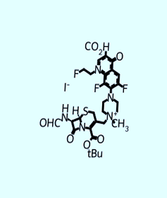 CC(C)(C)OC(=O)C1=C(C[N+]2(C)CCN(c3c(F)cc4c(=O)c(C(=O)O)cn(CCF)c4c3F)CC2)CS[C@@H]2[C@H](NC=O)C(=O)N12.[I-]